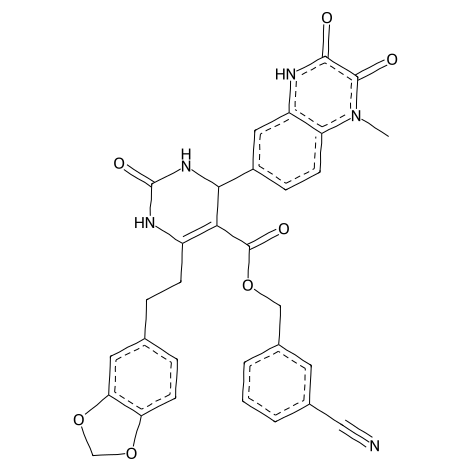 Cn1c(=O)c(=O)[nH]c2cc(C3NC(=O)NC(CCc4ccc5c(c4)OCO5)=C3C(=O)OCc3cccc(C#N)c3)ccc21